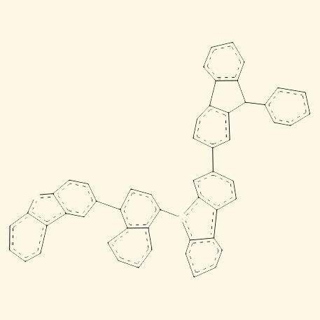 c1ccc(C2c3ccccc3-c3ccc(-c4ccc5c6ccccc6n(-c6ccc(-c7ccc8oc9ccccc9c8c7)c7ccccc67)c5c4)cc32)cc1